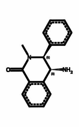 CN1C(=O)c2ccccc2[C@@H](N)[C@@H]1c1ccccc1